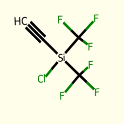 C#C[Si](Cl)(C(F)(F)F)C(F)(F)F